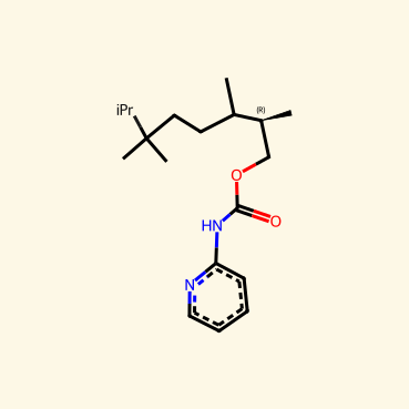 CC(CCC(C)(C)C(C)C)[C@@H](C)COC(=O)Nc1ccccn1